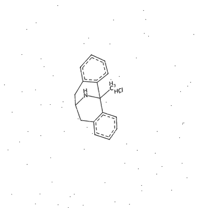 CC12NC(Cc3ccccc31)Cc1ccccc12.Cl